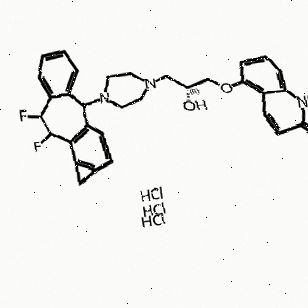 Cl.Cl.Cl.O=c1ccc2c(OC[C@H](O)CN3CCN(C4c5ccccc5C(F)C(F)c5c4ccc4c5C4)CC3)cccc2[nH]1